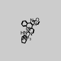 CN1C2CCC1CC(Nc1nccc(-c3c(-c4ccccc4Cl)nc4occn34)n1)C2